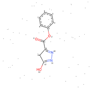 O=C(Oc1ccccc1)C1=NN=C(O)C1